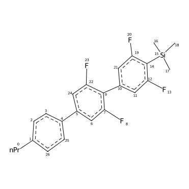 CCCc1ccc(-c2cc(F)c(-c3cc(F)c([Si](C)(C)C)c(F)c3)c(F)c2)cc1